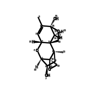 CC1=C[C@H]2O[C@@H]3[C@H](O)C[C@](C)([C@]24CO[C@@]1(O)[C@H]4O)[C@]31CO1